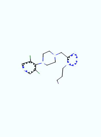 Clc1cncc(Cl)c1N1CCN(Cc2nnnn2CCCI)CC1